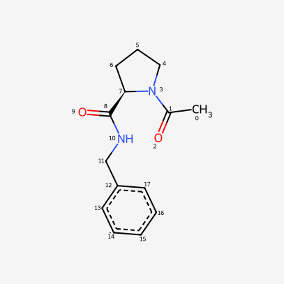 CC(=O)N1CCC[C@@H]1C(=O)NCc1c[c]ccc1